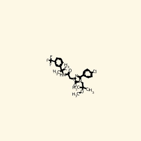 COC(C)(C)Cn1c(-c2ccc(Cl)cc2)nn(CC(=O)NC(C)(C)c2cccc(C(F)(F)F)c2)c1=O